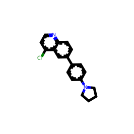 Clc1ccnc2ccc(-c3ccc(N4CCCC4)cc3)cc12